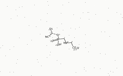 CCC(C#N)OP(=O)(O)CNCC(=O)O